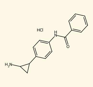 Cl.NC1CC1c1ccc(NC(=O)c2ccccc2)cc1